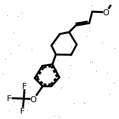 COCC=CC1CCC(c2ccc(OC(F)(F)F)cc2)CC1